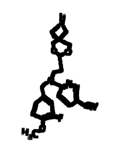 COc1ccc(CN(CCC2OCC3(CNC3)CO2)c2ccc(C#N)nn2)cc1F